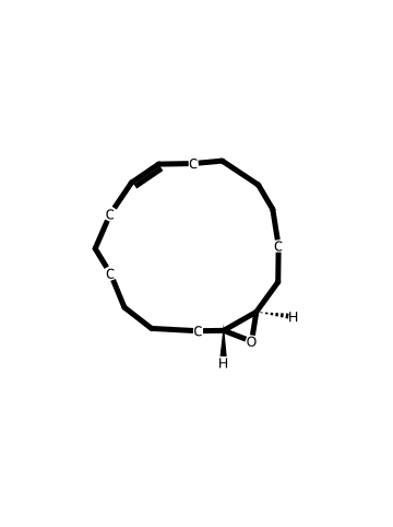 C1=C\CCCCCC[C@H]2O[C@@H]2CCCCCC/1